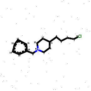 ClCCCCC1CCN(Cc2ccccc2)CC1